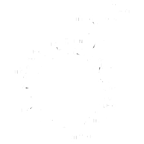 CO[C@H]1C[C@@H]2CC[C@@H](C)[C@@](O)(O2)C(=O)C(=O)N2CCCC[C@H]2C(=O)O[C@H]([C@H](N)C[C@@H]2CC[C@@H](OCC(=O)O)[C@H](OC)C2)CC(=O)[C@H](C)/C=C(\C)[C@@H](O)[C@@H](OC)C(=O)[C@H](C)C[C@H](C)/C=C/C=C/C=C/1C